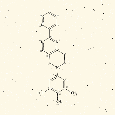 Cc1cc(N2CCc3nc(-c4ccccn4)ncc3C2)cc(C)c1C